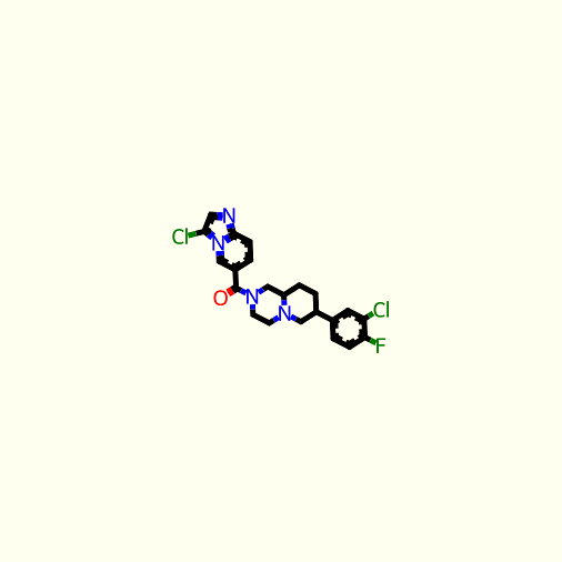 O=C(c1ccc2ncc(Cl)n2c1)N1CCN2CC(c3ccc(F)c(Cl)c3)CCC2C1